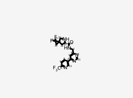 O=C(NCc1cc(-c2ccc(C(F)(F)F)nc2)ncn1)[C@@H]1CC2(CN1)CC2(F)F